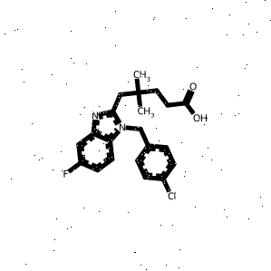 CC(C)(CCC(=O)O)Cc1nc2cc(F)ccc2n1Cc1ccc(Cl)cc1